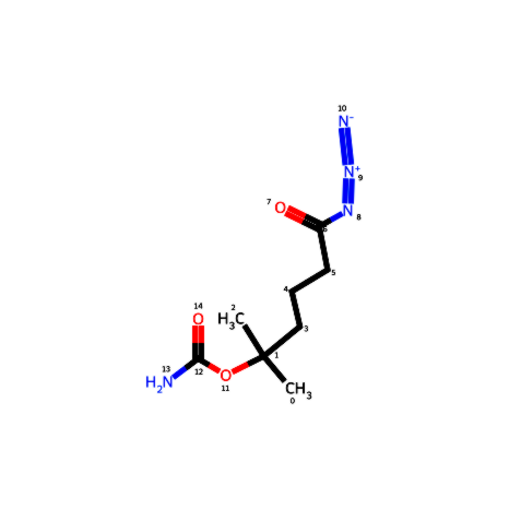 CC(C)(CCCC(=O)N=[N+]=[N-])OC(N)=O